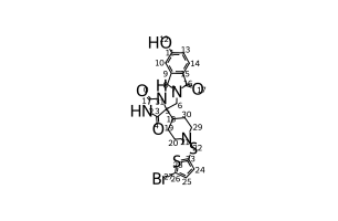 O=C1NC(=O)C(CN2Cc3cc(O)ccc3C2=O)(C2CCN(Sc3ccc(Br)s3)CC2)N1